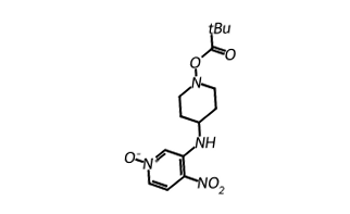 CC(C)(C)C(=O)ON1CCC(Nc2c[n+]([O-])ccc2[N+](=O)[O-])CC1